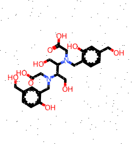 O=C(O)CN(Cc1ccc(CO)cc1O)C(CO)C(CO)N(CC(=O)O)Cc1cc(CO)ccc1O